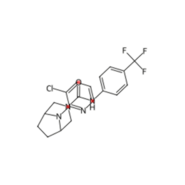 O=C(Nc1ccc(C(F)(F)F)cc1)N1CC2CCC(C1)N2c1ncccc1Cl